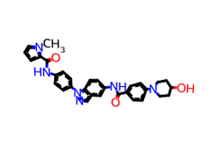 Cn1cccc1C(=O)Nc1ccc(-n2ncc3cc(NC(=O)c4ccc(N5CCC(O)CC5)cc4)ccc32)cc1